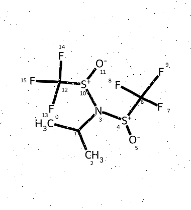 CC(C)N([S+]([O-])C(F)(F)F)[S+]([O-])C(F)(F)F